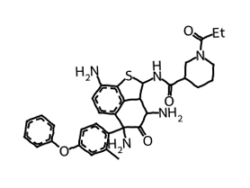 CCC(=O)N1CCCC(C(=O)NC2Sc3c(N)ccc4c3C2C(N)C(=O)C4(N)c2ccc(Oc3ccccc3)cc2C)C1